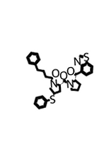 O=C(c1cccc2scnc12)[C@@H]1CCCN1C(=O)[C@@H]1C[C@@H](Sc2ccccc2)CN1C(=O)CCCc1ccccc1